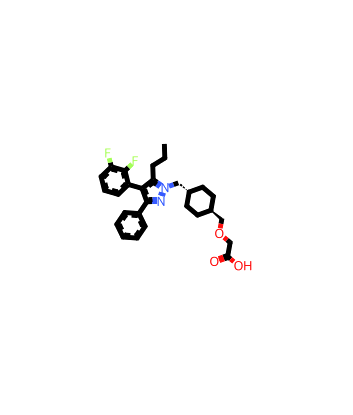 CCCc1c(-c2cccc(F)c2F)c(-c2ccccc2)nn1C[C@H]1CC[C@H](COCC(=O)O)CC1